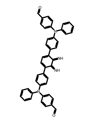 N=C1C(=N)C(c2ccc(N(c3ccccc3)c3ccc(C=O)cc3)cc2)=CC=C1c1ccc(N(c2ccccc2)c2ccc(C=O)cc2)cc1